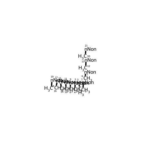 CCCCCCCCCC.CCCCCCCCCC.CCCCCCCCCC.CCCCCCCCCC.CCCCCCCCCC.CCCCCCCCCC.CCCCCCCCCC.CCCCCCCCCC.CCCCCCCCCC.CCCCCCCCCC.CCCCCCCCCC